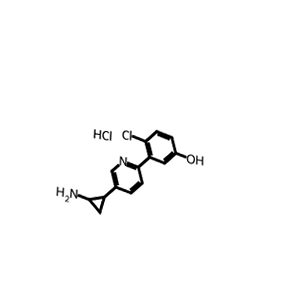 Cl.NC1CC1c1ccc(-c2cc(O)ccc2Cl)nc1